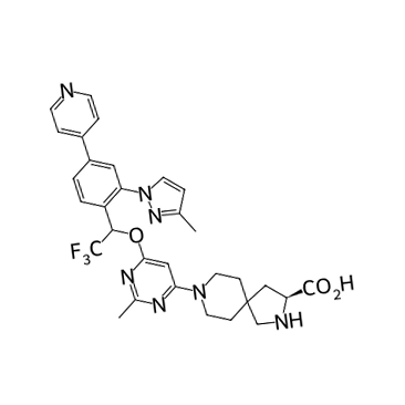 Cc1ccn(-c2cc(-c3ccncc3)ccc2C(Oc2cc(N3CCC4(CC3)CN[C@H](C(=O)O)C4)nc(C)n2)C(F)(F)F)n1